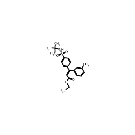 CCOC(=O)C=C(c1ccc(S(=O)(=O)NC(C)(C)C)cc1)c1cccc(C)c1